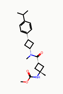 COC(=O)N[C@]1(C)C[C@H](C(=O)N(C)[C@H]2C[C@@H](c3ccc(C(C)C)cc3)C2)C1